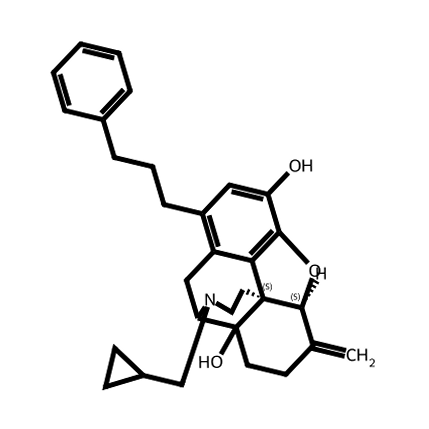 C=C1CCC2(O)C3Cc4c(CCCc5ccccc5)cc(O)c5c4[C@@]2(CCN3CC2CC2)[C@H]1O5